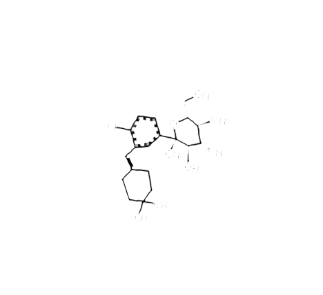 CC1(C)CCC(=Cc2cc([C@]3(O)O[C@H](CO)[C@@H](O)[C@H](O)[C@H]3O)ccc2Cl)CC1